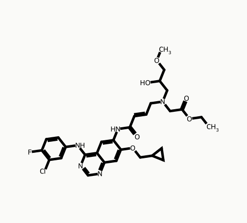 CCOC(=O)CN(CC=CC(=O)Nc1cc2c(Nc3ccc(F)c(Cl)c3)ncnc2cc1OCC1CC1)CC(O)COC